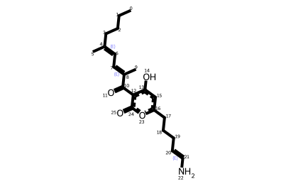 CCCC/C(C)=C/C=C(\C)C(=O)c1c(O)cc(CCC/C=C/N)oc1=O